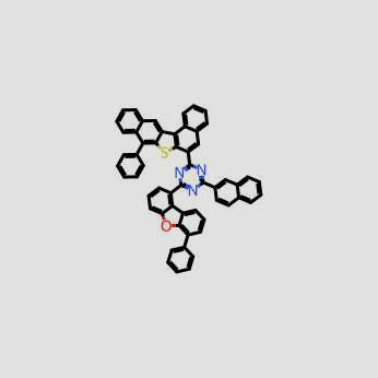 c1ccc(-c2cccc3c2oc2cccc(-c4nc(-c5ccc6ccccc6c5)nc(-c5cc6ccccc6c6c5sc5c(-c7ccccc7)c7ccccc7cc56)n4)c23)cc1